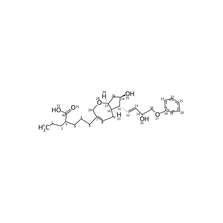 CCCC(CCCC1=CC[C@@H]2[C@@H](/C=C/[C@@H](O)COc3ccccc3)[C@H](O)C[C@@H]2OC1)C(=O)O